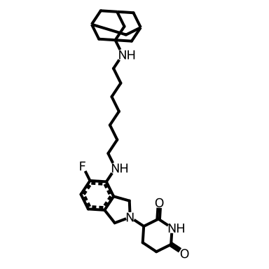 O=C1CCC(N2Cc3ccc(F)c(NCCCCCCCNC45CC6CC(CC(C6)C4)C5)c3C2)C(=O)N1